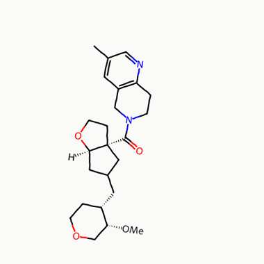 CO[C@@H]1COCC[C@@H]1CC1C[C@H]2OCC[C@@]2(C(=O)N2CCc3ncc(C)cc3C2)C1